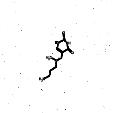 NCCCC(N)Cc1c[nH]c(=O)[nH]c1=O